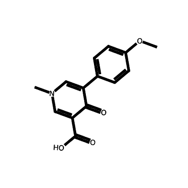 COc1ccc(-c2cn(C)cc(C(=O)O)c2=O)cc1